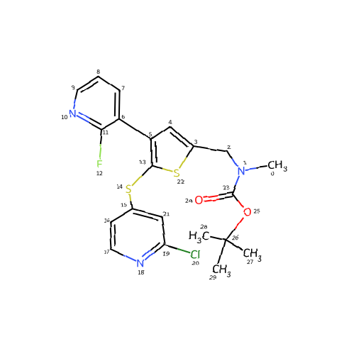 CN(Cc1cc(-c2cccnc2F)c(Sc2ccnc(Cl)c2)s1)C(=O)OC(C)(C)C